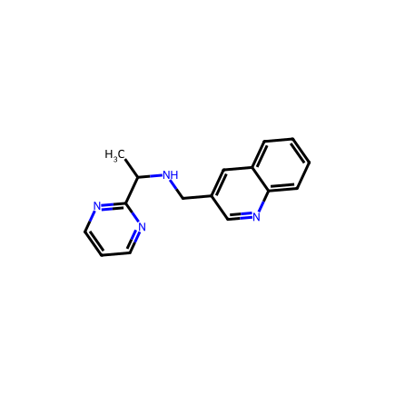 CC(NCc1cnc2ccccc2c1)c1ncccn1